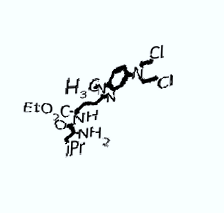 CCOC(=O)[C@H](CCc1nc2cc(N(CCCl)CCCl)ccc2n1C)NC(=O)[C@@H](N)CC(C)C